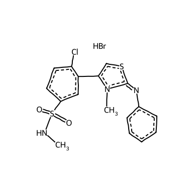 Br.CNS(=O)(=O)c1ccc(Cl)c(-c2csc(=Nc3ccccc3)n2C)c1